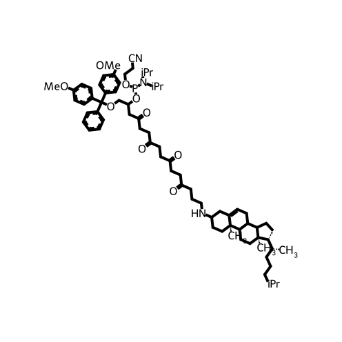 COc1ccc(C(OCC(CC(=O)CCC(=O)CCC(=O)CCC(=O)CCCNC2CC[C@@]3(C)C(=CCC4C3CC[C@@]3(C)C4CC[C@@H]3[C@H](C)CCCC(C)C)C2)OP(OCCC#N)N(C(C)C)C(C)C)(c2ccccc2)c2ccc(OC)cc2)cc1